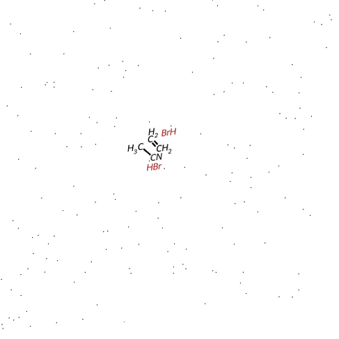 Br.Br.C=C.CC#N